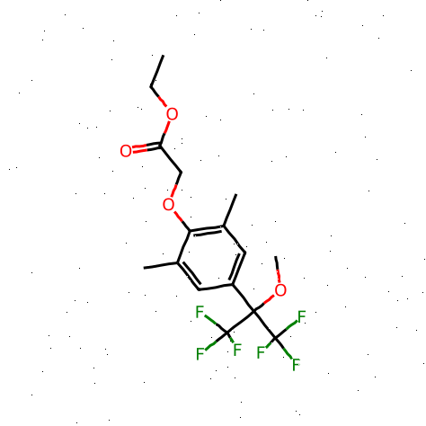 CCOC(=O)COc1c(C)cc(C(OC)(C(F)(F)F)C(F)(F)F)cc1C